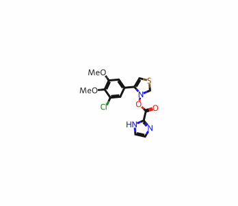 COc1cc(C2=CSCN2OC(=O)c2ncc[nH]2)cc(Cl)c1OC